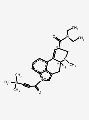 CCN(CC)C(=O)[C@@H]1C=C2c3cccc4c3c(cn4C(=O)C#C[Si](C)(C)C)C[C@H]2N(C)C1